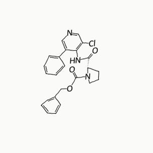 O=C(Nc1c(Cl)cncc1-c1ccccc1)[C@@H]1CCCN1C(=O)OCc1ccccc1